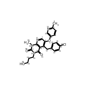 Cc1ccc(Oc2cnc3c(c2Cc2ccc(Cl)cc2)c(=O)n(CCCO)c(=O)n3C)cn1